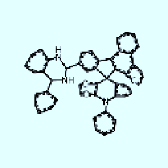 c1ccc(C2NC(c3ccc4c(c3)C3(c5ccccc5N(c5ccccc5)c5ccccc53)c3c-4c4ccccc4c4ccccc34)Nc3ccccc32)cc1